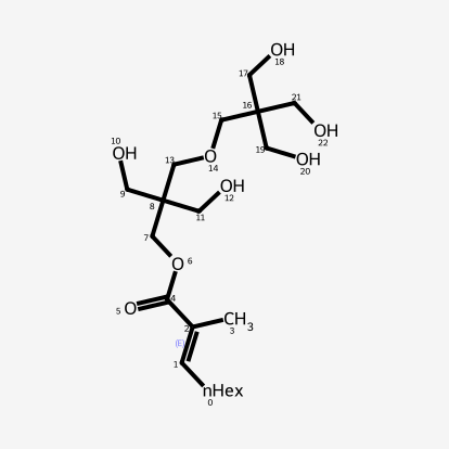 CCCCCC/C=C(\C)C(=O)OCC(CO)(CO)COCC(CO)(CO)CO